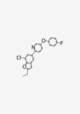 CCc1cc2cc(-c3ccc(Oc4ccc(F)cc4)cn3)cc(Cl)c2o1